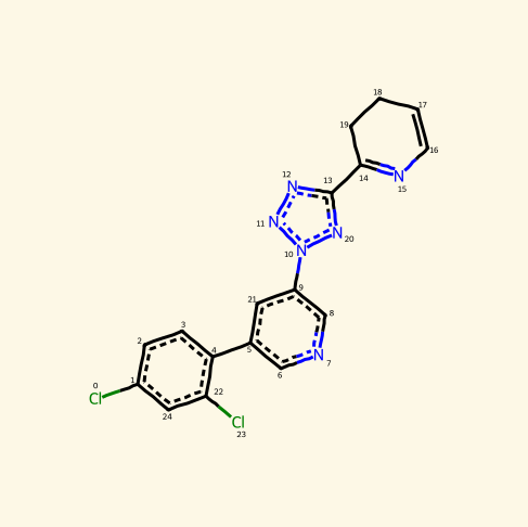 Clc1ccc(-c2cncc(-n3nnc(C4=NC=CCC4)n3)c2)c(Cl)c1